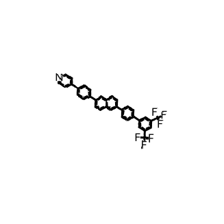 FC(F)(F)c1cc(-c2ccc(-c3ccc4cc(-c5ccc(-c6ccncc6)cc5)ccc4c3)cc2)cc(C(F)(F)F)c1